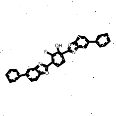 Oc1c(-c2nc3cc(-c4ccccc4)ccc3o2)ccc(-c2nc3cc(-c4ccccc4)ccc3o2)c1F